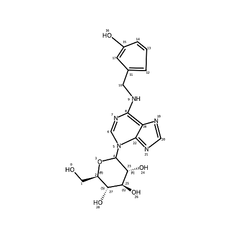 OC[C@H]1OC(n2cnc(NCc3cccc(O)c3)c3ncnc2-3)[C@H](O)[C@@H](O)[C@@H]1O